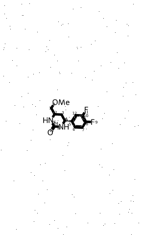 COCC1C[C@@H](c2ccc(F)c(F)c2)NC(=O)N1